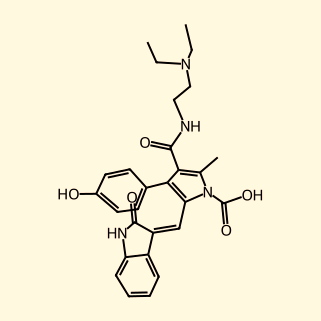 CCN(CC)CCNC(=O)c1c(-c2ccc(O)cc2)c(C=C2C(=O)Nc3ccccc32)n(C(=O)O)c1C